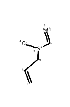 C=CC[S+]([O-])C=N